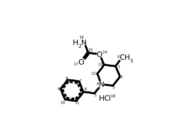 CC1CCN(Cc2ccccc2)CC1OC(N)=O.Cl